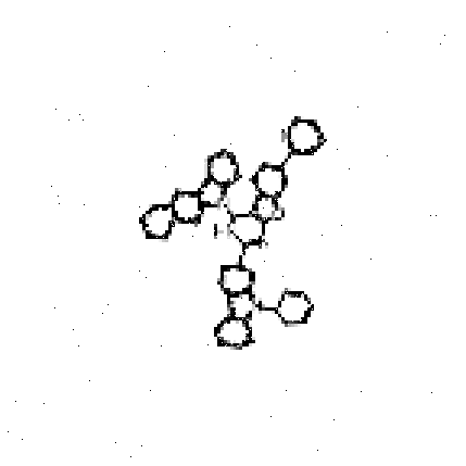 C1=CCC(n2c3ccccc3c3ccc(C4=Nc5oc6cc(-c7ccccn7)ccc6c5C(n5c6ccccc6c6cc7ccccc7cc65)N4)cc32)C=C1